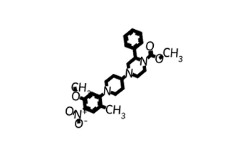 COC(=O)N1CCN(C2CCN(c3cc(OC)c([N+](=O)[O-])cc3C)CC2)CC1c1ccccc1